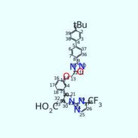 CC(C)(C)c1ccc(-c2ccc(-c3noc(COc4cccc([C@@H]5CN(c6nccc(C(F)(F)F)n6)C[C@@H]5CC(=O)O)c4)n3)cc2)cc1